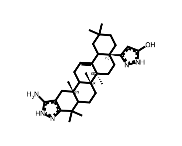 CC1(C)CC[C@]2(c3cc(O)[nH]n3)CC[C@]3(C)C(=CCC4[C@@]5(C)Cc6c(n[nH]c6N)C(C)(C)C5CC[C@]43C)C2C1